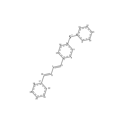 C(/C=C/c1ccc(Sc2ccccc2)cc1)=C\c1ccccc1